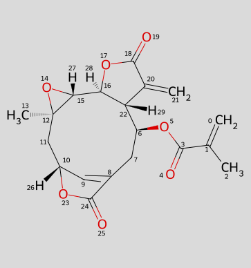 C=C(C)C(=O)O[C@H]1CC2=C[C@@H](C[C@@]3(C)O[C@@H]3[C@H]3OC(=O)C(=C)[C@@H]31)OC2=O